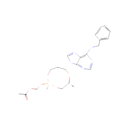 B[PH]1(OCOC(C)=O)OC[C@H](C)O[C@@H](n2cnc3c(NCc4ccccc4)ncnc32)[C@@H](O)CO1